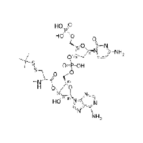 CNC(CSSC(C)(C)C)C(=O)O[C@H]1[C@@H](O)[C@H](n2cnc3c(N)ncnc32)O[C@@H]1COP(=O)(O)O[C@H]1C[C@H](n2ccc(N)nc2=O)O[C@@H]1COP(=O)(O)O